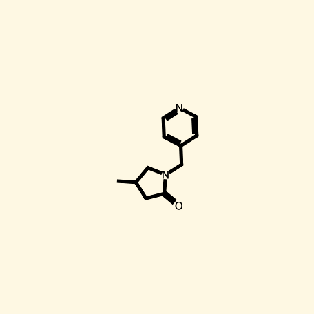 CC1CC(=O)N(Cc2ccncc2)C1